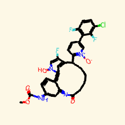 COC(=O)Nc1ccc2/c(c1)=N\C(=O)CCCCC(c1ccc(-c3c(F)ccc(Cl)c3F)c[n+]1[O-])C1=C/C=2N(O)C=C1F